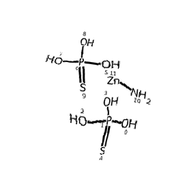 OP(O)(O)=S.OP(O)(O)=S.[NH2][Zn]